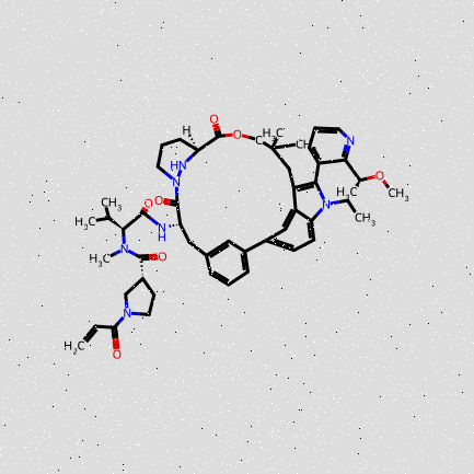 C=CC(=O)N1CC[C@@H](C(=O)N(C)[C@H](C(=O)N[C@H]2Cc3cccc(c3)-c3ccc4c(c3)c(c(-c3cccnc3[C@H](C)OC)n4CC)CC(C)(C)COC(=O)[C@@H]3CCCN(N3)C2=O)C(C)C)C1